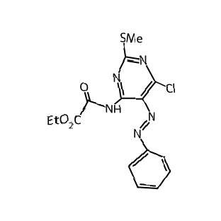 CCOC(=O)C(=O)Nc1nc(SC)nc(Cl)c1/N=N/c1ccccc1